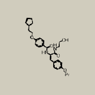 CC(C)Oc1ccc(/C=C(/NC(=O)c2ccc(OCCC3C=CCC3)cc2)C(=O)NCCO)cc1